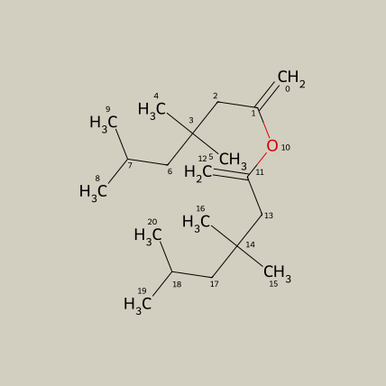 C=C(CC(C)(C)CC(C)C)OC(=C)CC(C)(C)CC(C)C